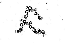 COc1ccc(CNC(=O)c2cccc(CN3CC[N+](C)(C)CC3)c2)cc1-c1cccc(CN2CCN[C@@H](C)C2)c1.COc1ccc(CNC(=O)c2cccc(CN3CC[N+](C)(C)CC3)c2)cc1-c1cccc(CN2CCN[C@@H](C)C2)c1.O=C([O-])C(F)(F)F.O=C([O-])C(F)(F)F